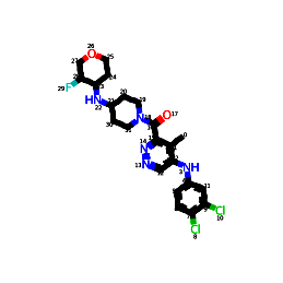 Cc1c(Nc2ccc(Cl)c(Cl)c2)cnnc1C(=O)N1CCC(NC2CCOCC2F)CC1